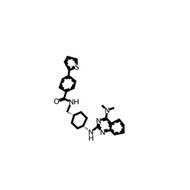 CN(C)c1nc(N[C@H]2CC[C@@H](CNC(=O)c3ccc(-c4cccs4)cc3)CC2)nc2ccccc12